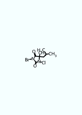 CC(C)CC1(C)C(=O)N(Br)C(=O)N1Cl